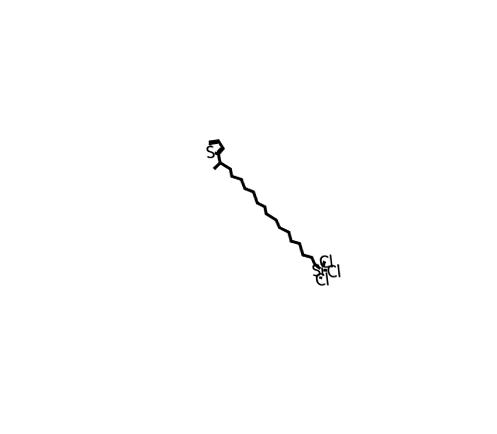 CC(CCCCCCCCCCCCCCCC[Si](Cl)(Cl)Cl)c1cccs1